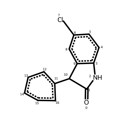 O=C1Nc2ccc(Cl)cc2C1c1ccccc1